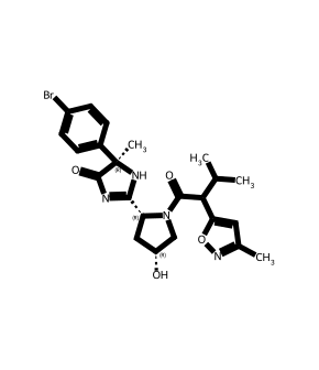 Cc1cc(C(C(=O)N2C[C@H](O)C[C@@H]2C2=NC(=O)[C@@](C)(c3ccc(Br)cc3)N2)C(C)C)on1